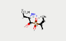 CC(=CC(C)(C)C)S(=O)(=O)C(=O)[C@@H](N)CC(=O)O